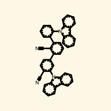 N#Cc1ccc(-c2cccc(-c3ccccc3-n3c4ccccc4c4ccccc43)c2C#N)cc1-n1c2ccccc2c2ccccc21